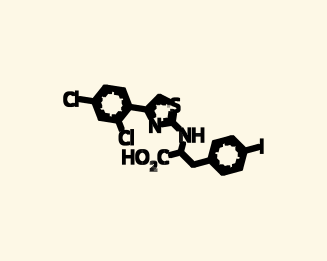 O=C(O)C(Cc1ccc(I)cc1)Nc1nc(-c2ccc(Cl)cc2Cl)cs1